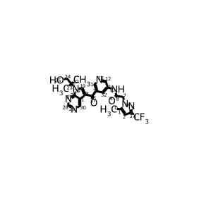 Cc1cc(C(F)(F)F)nn1CC(=O)Nc1cncc(C(=O)c2cn(C(C)(C)CO)c3ncncc23)c1